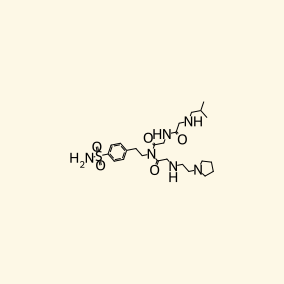 CC(C)CNCC(=O)NCC(=O)N(CCc1ccc(S(N)(=O)=O)cc1)C(=O)CNCCN1CCCC1